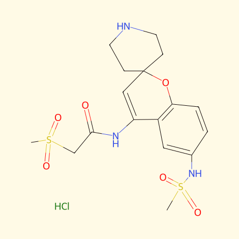 CS(=O)(=O)CC(=O)NC1=CC2(CCNCC2)Oc2ccc(NS(C)(=O)=O)cc21.Cl